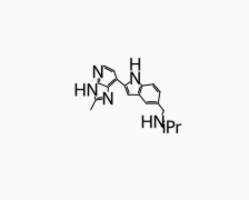 Cc1nc2c(-c3cc4cc(CNC(C)C)ccc4[nH]3)ccnc2[nH]1